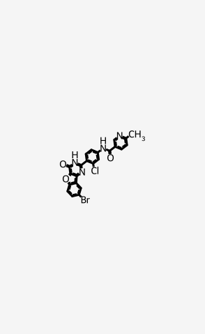 Cc1ccc(C(=O)Nc2ccc(-c3nc4c(oc5ccc(Br)cc54)c(=O)[nH]3)c(Cl)c2)cn1